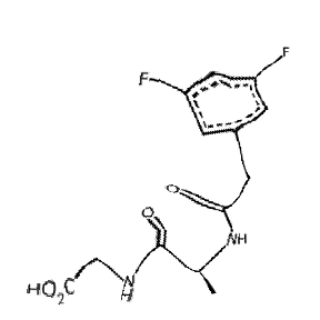 C[C@H](NC(=O)Cc1cc(F)cc(F)c1)C(=O)NCC(=O)O